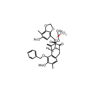 C=C1[C@H]2c3c(cc(C)c(OC)c3OCc3ccccc3)CC(C(=O)N1[C@@H](COC(C)=O)c1cc(OC(C)=O)c(C)c3c1OCO3)N2C(=O)OCC(Cl)(Cl)Cl